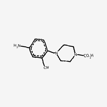 N#Cc1cc(N)ccc1N1CCN(C(=O)O)CC1